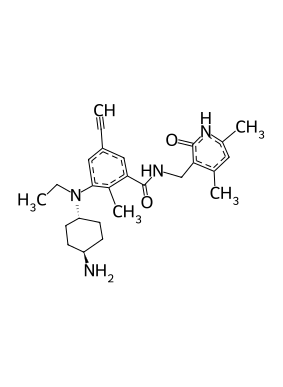 C#Cc1cc(C(=O)NCc2c(C)cc(C)[nH]c2=O)c(C)c(N(CC)[C@H]2CC[C@H](N)CC2)c1